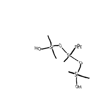 CCC[Si](C)(O[Si](C)(C)O)O[Si](C)(C)O